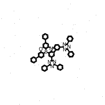 c1ccc(-c2ccc3c(c2)Oc2cc(-c4ccccc4)cc4c2B3c2cc(-c3nc(-c5ccccc5)nc(-c5ccccc5)n3)cc3c5cc(-c6nc(-c7ccccc7)nc(-c7ccccc7)n6)ccc5n-4c23)cc1